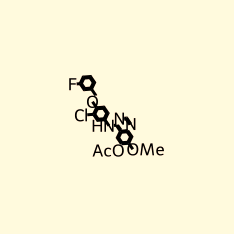 COc1cc2ncnc(Nc3ccc(OCc4cccc(F)c4)c(Cl)c3)c2cc1OC(C)=O